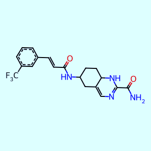 NC(=O)C1=NC=C2CC(NC(=O)C=Cc3cccc(C(F)(F)F)c3)CCC2N1